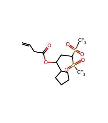 C=CCC(=O)OC(CC(S(=O)(=O)C(F)(F)F)S(=O)(=O)C(F)(F)F)C1CCCC1